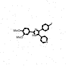 COc1ccc(-c2nc(-c3ccc(F)cc3)c(-c3ccncc3)[nH]2)cc1OC